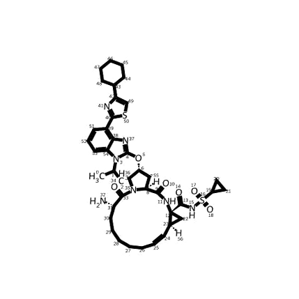 CC(C)n1c(O[C@@H]2C[C@H]3C(=O)N[C@]4(C(=O)NS(=O)(=O)C5CC5)C[C@H]4/C=C\CCCCC[C@H](N)C(=O)N3C2)nc2c(-c3nc(C4CCCCC4)cs3)cccc21